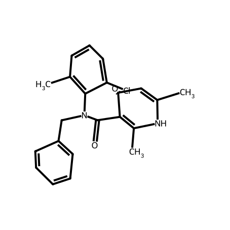 Cc1cc(=O)c(C(=O)N(Cc2ccccc2)c2c(C)cccc2Cl)c(C)[nH]1